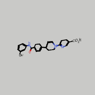 CC(C)(C)c1cccc(NC(=O)C2=CC=C(C3CCN(C4=NC=C(C(=O)O)CC4)CC3)CC2)c1